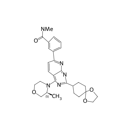 CNC(=O)c1cccc(-c2ccc3c(N4CCOC[C@@H]4C)nc(C4CCC5(CC4)OCCO5)nc3n2)c1